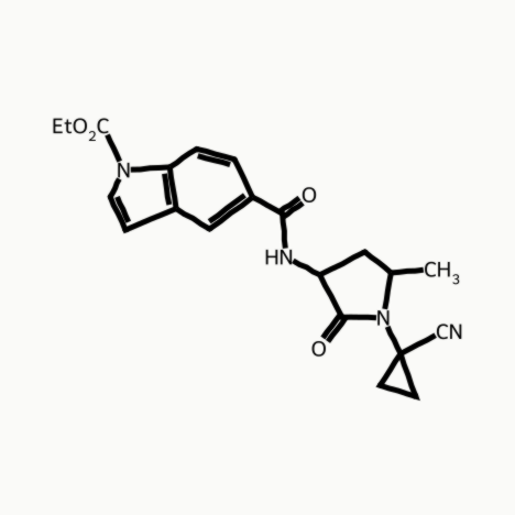 CCOC(=O)n1ccc2cc(C(=O)NC3CC(C)N(C4(C#N)CC4)C3=O)ccc21